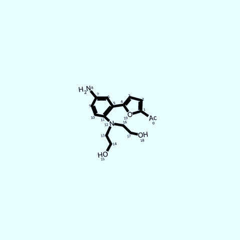 CC(=O)c1ccc(-c2cc(N)ccc2N(CCO)CCO)o1